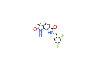 CC1(C)C(=O)Nc2cc(C(=O)NCc3c(F)cc(F)cc3F)ccc21